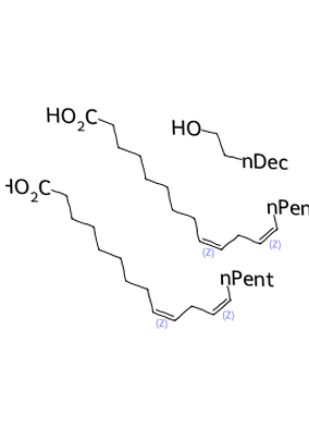 CCCCC/C=C\C/C=C\CCCCCCCC(=O)O.CCCCC/C=C\C/C=C\CCCCCCCC(=O)O.CCCCCCCCCCCCO